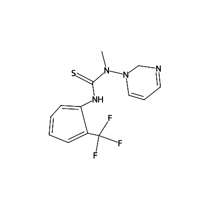 CN(C(=S)Nc1ccccc1C(F)(F)F)N1C=CC=NC1